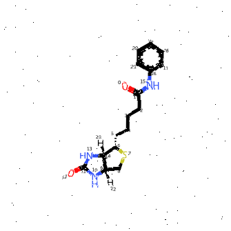 O=C(CCCC[C@@H]1SC[C@@H]2NC(=O)N[C@@H]21)Nc1ccccc1